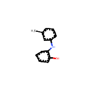 Cc1cccc(Nc2ccccc2O)c1